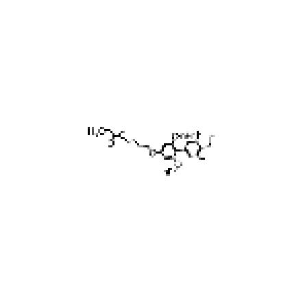 C=CC(=O)OCCCCOc1cc(OCCC)c(-c2cc(F)c(CF)c(F)c2)c(OCCC)c1